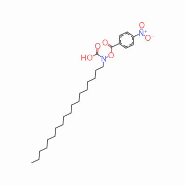 CCCCCCCCCCCCCCCCCCN(OC(=O)c1ccc([N+](=O)[O-])cc1)C(=O)O